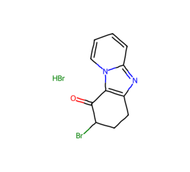 Br.O=C1c2c(nc3ccccn23)CCC1Br